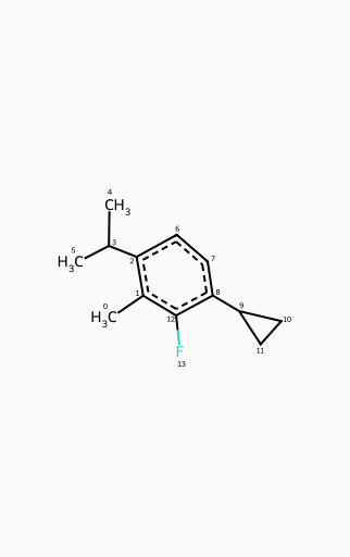 Cc1c(C(C)C)ccc(C2CC2)c1F